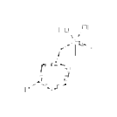 CS(=O)(O)(O)Cc1cccc(F)c1